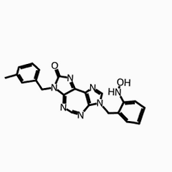 Cc1cccc(Cn2c3ncnc4c(ncn4Cc4ccccc4NO)c-3nc2=O)c1